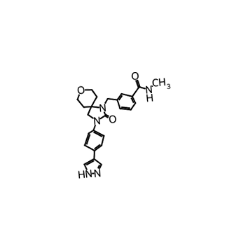 CNC(=O)c1cccc(CN2C(=O)N(c3ccc(-c4cn[nH]c4)cc3)CC23CCOCC3)c1